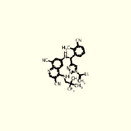 C=C(CC)n1cc([C@@H](Nc2cc(C#N)c3ncc(C#N)c(NCC(C)(C)C(F)(F)F)c3c2)c2cccc(C#N)c2C)nn1